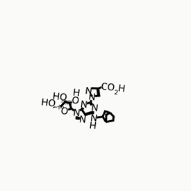 O=C(O)c1cnn(-c2nc(NC3CC4CCC3C4)c3ncn(C4O[C@H](CO)[C@@H](O)[C@H]4O)c3n2)c1